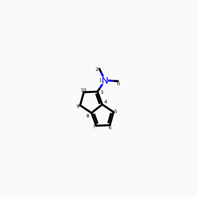 CN(C)C1=C2C=CC=C2CC1